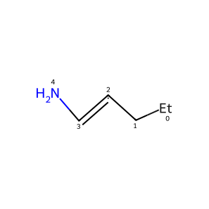 CCC[C]=CN